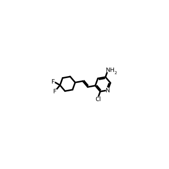 Nc1cnc(Cl)c(/C=C/C2CCC(F)(F)CC2)c1